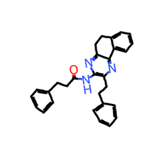 O=C(CCc1ccccc1)Nc1nc2c(nc1CCc1ccccc1)-c1ccccc1CC2